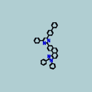 c1ccc(-c2ccc(-c3cc(-c4ccccc4)nc(-c4ccc5c(ccc6ccc7c(nc(-c8ccccc8)n7-c7ccccc7)c65)c4)n3)cc2)cc1